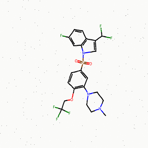 CN1CCN(c2cc(S(=O)(=O)n3cc(C(F)F)c4ccc(F)cc43)ccc2OCC(F)(F)F)CC1